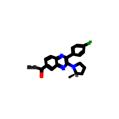 COC(=O)c1ccc2nc(-c3ccc(F)cc3)c(N3CCC[C@@H]3C)nc2c1